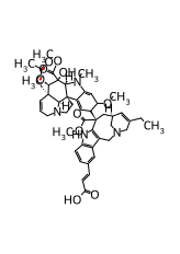 CCC1=C[C@H]2CN(C1)Cc1c([nH]c3ccc(/C=C/C(=O)O)cc13)[C@@](C(=O)OC)(C1C=C3C(=CC1OC)N(C)[C@H]1[C@@](O)(C(=O)OC)[C@H](OC(C)=O)[C@]4(CC)C=CCN5CC[C@]31[C@@H]54)C2